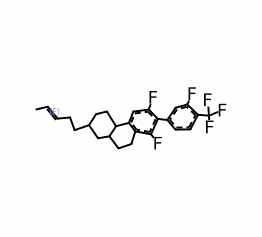 C/C=C/CCC1CCC2c3cc(F)c(-c4ccc(C(F)(F)F)c(F)c4)c(F)c3CCC2C1